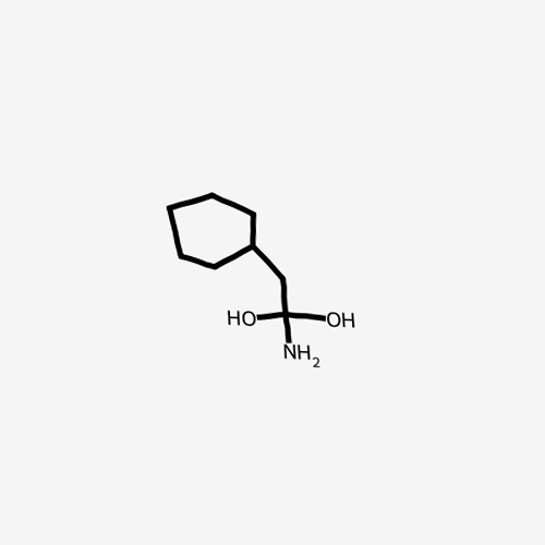 NC(O)(O)CC1CCCCC1